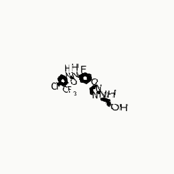 O=C(Nc1ccc(Cl)c(C(F)(F)F)c1)Nc1ccc(Oc2ccnc(NCCCO)n2)cc1F